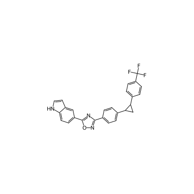 FC(F)(F)c1ccc(C2CC2c2ccc(-c3noc(-c4ccc5[nH]ccc5c4)n3)cc2)cc1